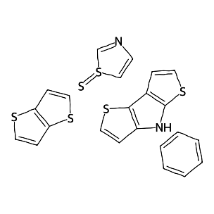 S=S1C=CN=C1.c1cc2c([nH]c3ccsc32)s1.c1cc2sccc2s1.c1ccccc1